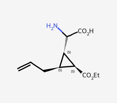 C=CC[C@@H]1[C@H](C(=O)OCC)[C@H]1C(N)C(=O)O